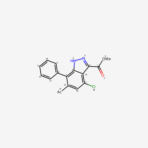 COC(=O)c1n[nH]c2c(-c3ccccc3)c(C(C)=O)cc(Cl)c12